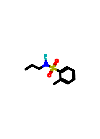 CCCN(F)S(=O)(=O)c1ccccc1C